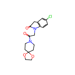 O=C(CN1C(=O)Cc2cc(Cl)ccc21)N1CCC2(CC1)OCCO2